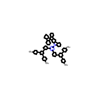 CC(C)(C)c1ccc(-c2cc(-c3ccc(C(C)(C)C)cc3)cc(-c3cccc(-c4nc(-c5cccc(-c6cc(-c7ccc(C(C)(C)C)cc7)cc(-c7ccc(C(C)(C)C)cc7)c6)c5)nc(-n5c6ccccc6c6cc7c(cc65)C5(c6ccccc6-c6ccccc65)c5ccccc5-7)n4)c3)c2)cc1